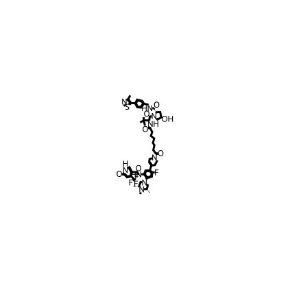 Cc1ncsc1-c1ccc(CNC(=O)[C@@H]2C[C@@H](O)CN2C(=O)C(NC(=O)CCCCCCC(=O)N2CC=C(c3cc(NC(=O)c4c[nH]c(=O)cc4C(F)(F)F)c(N4C[C@@H](C)N(C)[C@@H](C)C4)cc3F)CC2)C(C)(C)C)cc1